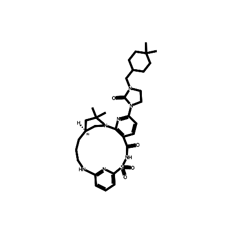 CC1(C)CCC(CN2CCN(c3ccc4c(n3)N3C[C@@H](CCCNc5cccc(n5)S(=O)(=O)NC4=O)CC3(C)C)C2=O)CC1